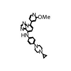 COc1cc(-c2ccc(Nc3ccc(N4CCN(C5CC5)CC4)cc3)c3ncnn23)ccn1